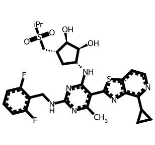 Cc1nc(NCc2c(F)cccc2F)nc(N[C@@H]2C[C@H](CS(=O)(=O)C(C)C)[C@@H](O)[C@H]2O)c1-c1nc2c(C3CC3)nccc2s1